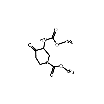 CC(C)(C)OC(=O)NC1CN(C(=O)OC(C)(C)C)CCC1=O